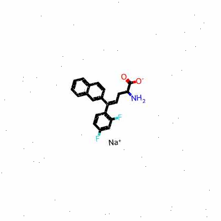 NC(C/C=C(\c1ccc2ccccc2c1)c1ccc(F)cc1F)C(=O)[O-].[Na+]